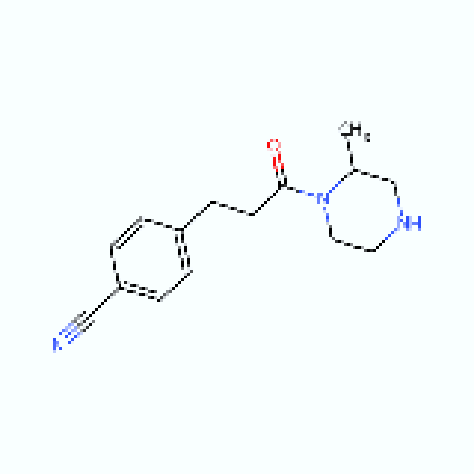 CC1CNCCN1C(=O)CCc1ccc(C#N)cc1